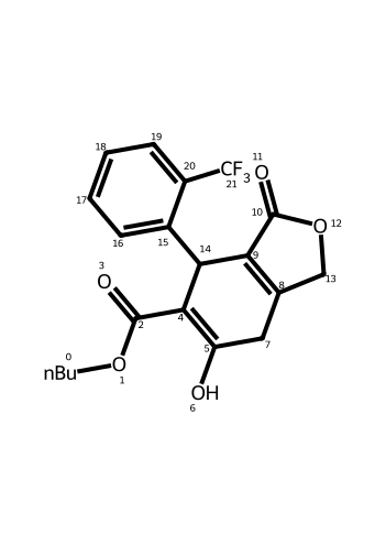 CCCCOC(=O)C1=C(O)CC2=C(C(=O)OC2)C1c1ccccc1C(F)(F)F